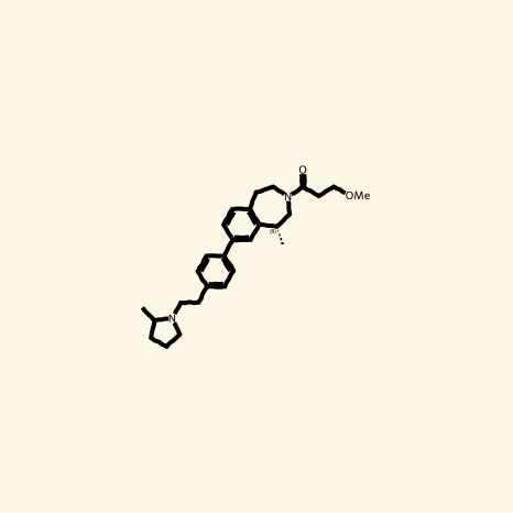 COCCC(=O)N1CCc2ccc(-c3ccc(CCN4CCCC4C)cc3)cc2[C@@H](C)C1